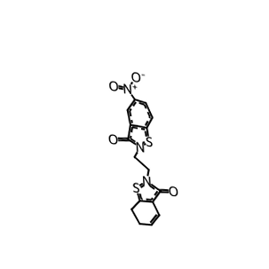 O=c1c2c(sn1CCn1sc3ccc([N+](=O)[O-])cc3c1=O)CCC=C2